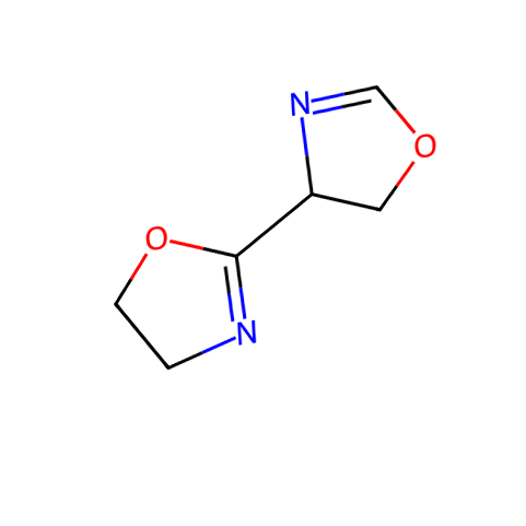 C1=NC(C2=NCCO2)CO1